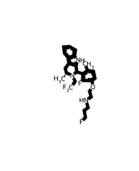 Cc1ccc(OCCNCCCF)c(F)c1C1c2[nH]c3ccccc3c2C[C@@H](C)N1CC(F)(F)F